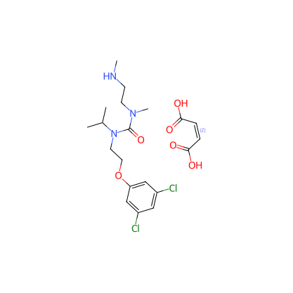 CNCCN(C)C(=O)N(CCOc1cc(Cl)cc(Cl)c1)C(C)C.O=C(O)/C=C\C(=O)O